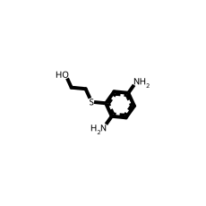 Nc1ccc(N)c(SCCO)c1